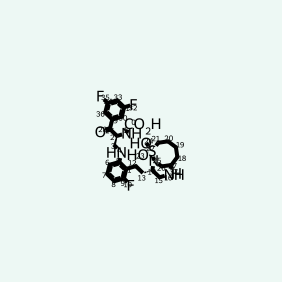 O=C(O)N[C@@H](CNc1cccc(F)c1CC[C@H]1CN[C@@H]2CCCCS(O)(O)N1C2)C(=O)c1cc(F)cc(F)c1